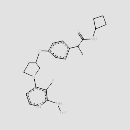 CCCNc1nccc(N2CCC(Oc3ccc(C(C)C(=O)NC4CCC4)cc3)C2)c1F